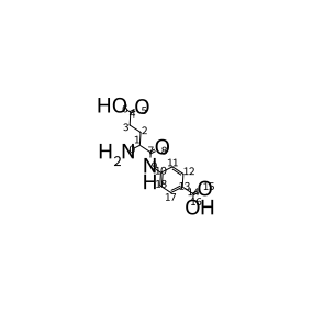 NC(CCC(=O)O)C(=O)Nc1ccc(C(=O)O)cc1